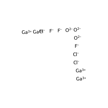 [Cl-].[Cl-].[Cl-].[F-].[F-].[F-].[Ga+3].[Ga+3].[Ga+3].[Ga+3].[O-2].[O-2].[O-2]